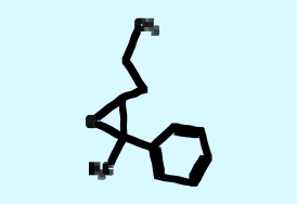 CCCC1OC1(C)c1ccccc1